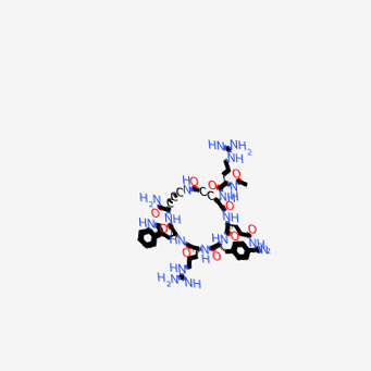 CC(=O)N[C@@H](CCCNC(=N)N)C(=O)N[C@H]1CCC(=O)NCCCC(C(N)=O)NC(=O)[C@H](Cc2c[nH]c3ccccc23)NC(=O)[C@H](CCCNC(=N)N)NC(=O)[C@@H](Cc2ccc(C#N)cc2)NC(=O)[C@H](CCC(N)=O)NC1=O